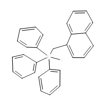 BrP(Cc1cccc2ccccc12)(c1ccccc1)(c1ccccc1)c1ccccc1